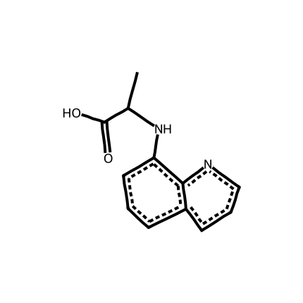 CC(Nc1cccc2cccnc12)C(=O)O